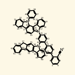 N#Cc1ccccc1-c1ccc(-c2ccc(-n3c4ccccc4c4c3ccc3c5ccccc5n(-c5ccccc5)c34)cc2-n2c3ccccc3c3cc4c(cc32)Cc2ccccc2-4)cc1